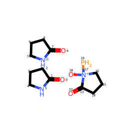 O=C1CCCN1.O=C1CCCN1.O=C1CCC[N+]1([O-])P